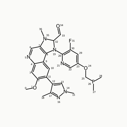 COc1cc2ncc3c(c2cc1-c1cn(C)nc1C)N(c1ncc(OCP(C)C)cc1F)C(C=O)N3C